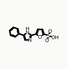 O=S(=O)(O)c1ccc(-c2ncc(-c3ccccc3)[nH]2)o1